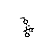 COc1ccc(NC=C(C(=O)c2ccccc2)c2cc(C)no2)cc1